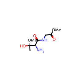 COC(=O)CNC(=O)[C@@H](N)[C@@](C)(O)OC